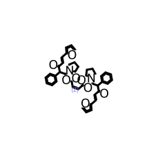 O=C(/C=C\C(=O)OC(C(C(=O)C=Cc1ccco1)c1ccccc1)N1CCCC1)OC(C(C(=O)C=Cc1ccco1)c1ccccc1)N1CCCC1